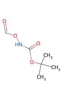 CC(C)(C)OC(=O)NOC=O